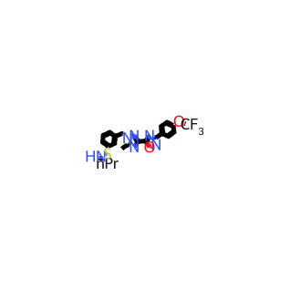 CCCNSc1cccc(Cn2nc(-c3nc(-c4ccc(OC(F)(F)F)cc4)no3)nc2C)c1